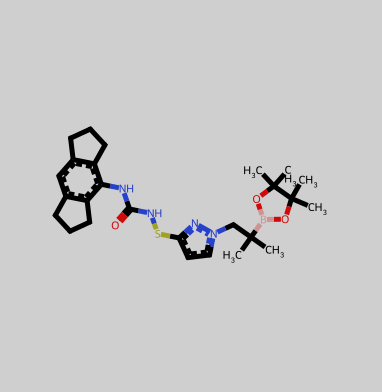 CC(C)(Cn1ccc(SNC(=O)Nc2c3c(cc4c2CCC4)CCC3)n1)B1OC(C)(C)C(C)(C)O1